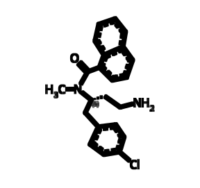 CN(C(=O)c1cccc2ccccc12)[C@H](CCN)Cc1ccc(Cl)cc1